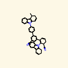 CC1CC=Cc2c1c1ccccc1n2-c1ccc(-c2cc(C#N)cc(C3=C(n4c5c(c6ccccc64)C=CCC5)C(C#N)CC=C3)c2)cc1